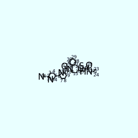 N#Cc1ccc(-c2cccc(C(=O)N3CCc4cc(C(=O)NC5CC5)sc4-c4ccccc43)n2)cn1